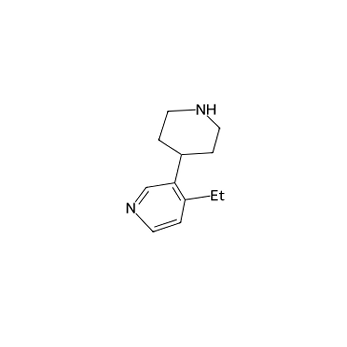 CCc1ccncc1C1CCNCC1